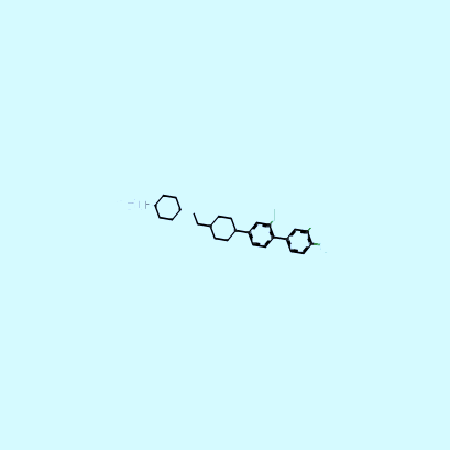 CCCC[C@H]1CC[C@H](CCC2CCC(c3ccc(-c4ccc(Cl)c(F)c4)c(F)c3)CC2)CC1